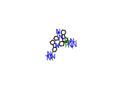 Cc1nc(C)nc(-c2ccc3c(c2)c2ccccc2n3-c2ccc(C(F)(F)F)cc2-c2cccc(C#N)c2-n2c3ccccc3c3cc(-c4nc(C)nc(C)n4)ccc32)n1